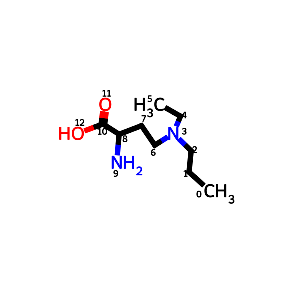 CCCN(CC)CCC(N)C(=O)O